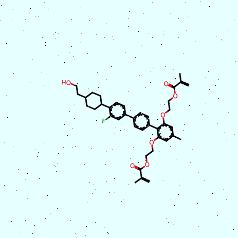 C=C(C)C(=O)OCCOc1cc(C)cc(OCCOC(=O)C(=C)C)c1-c1ccc(-c2ccc(C3CCC(CCO)CC3)c(F)c2)cc1